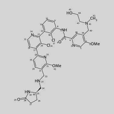 COc1cnc(C(=O)Nc2cccc(-c3nccc(-c4ccc(CNC[C@H]5CCC(=O)N5)c(OC)n4)c3Cl)c2Cl)cc1CN(C)CCO